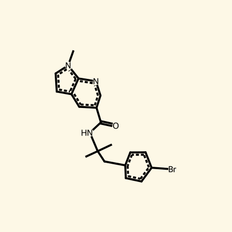 Cn1ccc2cc(C(=O)NC(C)(C)Cc3ccc(Br)cc3)cnc21